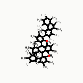 Bc1c(B)c(-c2c(B)c(B)c3c(B)c(B)c4c(B)c(B)c(B)c(B)c4c3c2B)c(B)c(-c2c3c(B)c(B)c(B)c(B)c3c(-c3c(B)c(B)c(B)c4oc5c(B)c(B)c(B)c(B)c5c34)c3c(B)c(B)c(B)c(B)c23)c1B